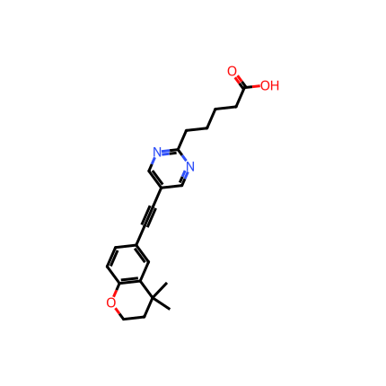 CC1(C)CCOc2ccc(C#Cc3cnc(CCCCC(=O)O)nc3)cc21